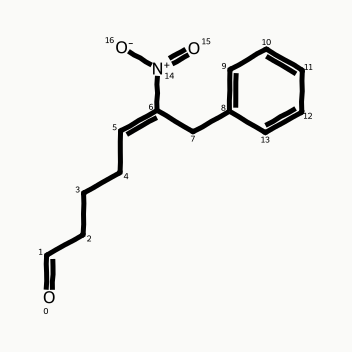 O=CCCC/C=C(\Cc1ccccc1)[N+](=O)[O-]